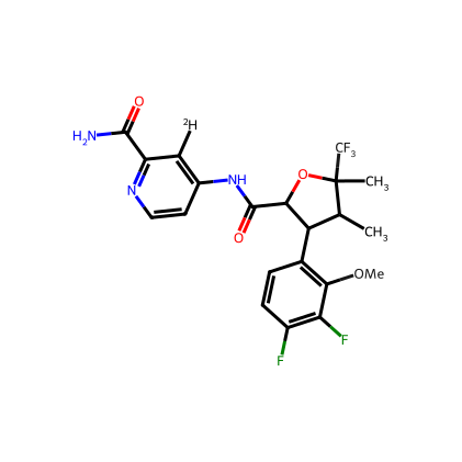 [2H]c1c(NC(=O)C2OC(C)(C(F)(F)F)C(C)C2c2ccc(F)c(F)c2OC)ccnc1C(N)=O